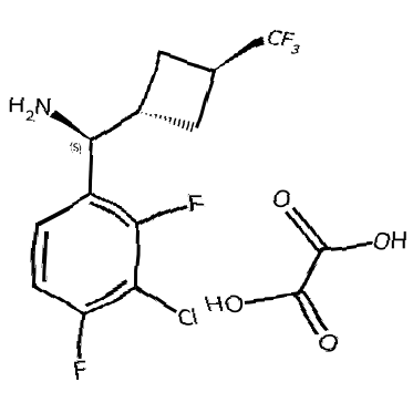 N[C@H](c1ccc(F)c(Cl)c1F)[C@H]1C[C@H](C(F)(F)F)C1.O=C(O)C(=O)O